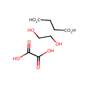 O=C(O)C(=O)O.O=C(O)CCC(=O)O.OCCO